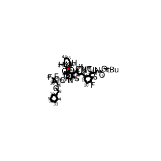 CC(C)(C)OC(=O)Nc1sc2c(F)ccc(-c3nccc4c3sc3nc(OC[C@]5(COCc6ccccc6)CC5(F)F)nc(N5C[C@H]6CC[C@@H](C5)N6C(=O)OC(C)(C)C)c34)c2c1C#N